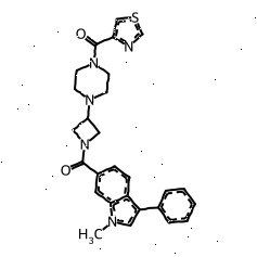 Cn1cc(-c2ccccc2)c2ccc(C(=O)N3CC(N4CCN(C(=O)c5cscn5)CC4)C3)cc21